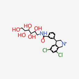 CN1Cc2c(Cl)cc(Cl)cc2C(c2cccc(C(=O)NC[C@H](O)[C@@H](O)[C@H](O)[C@H](O)CO)c2)C1